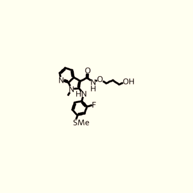 CSc1ccc(Nc2c(C(=O)NOCCCO)c3cccnc3n2C)c(F)c1